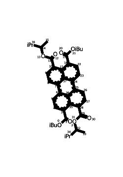 CC(C)COC(=O)c1ccc2c3ccc(C(=O)OC(C)C(C)C)c4c(C(=O)OCC(C)C)ccc(c5ccc(C(=O)OC(C)C(C)C)c1c25)c43